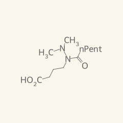 CCCCCC(=O)N(CCCC(=O)O)N(C)C